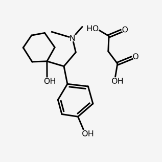 CN(C)CC(c1ccc(O)cc1)C1(O)CCCCC1.O=C(O)CC(=O)O